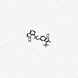 Cc1[nH]c2ccc(CC(C)(C)c3cccc4cc[nH]c34)cc2c1C(C)(C)C